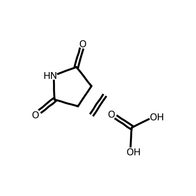 C=C.O=C(O)O.O=C1CCC(=O)N1